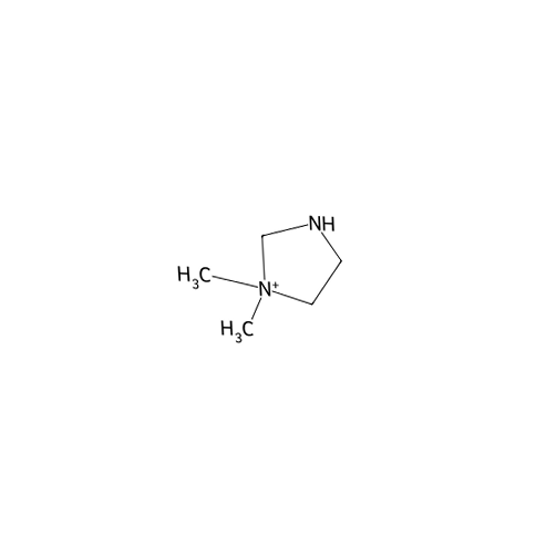 C[N+]1(C)CCNC1